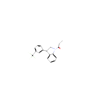 CCC(=O)N1CC(c2cccc(C(F)(F)F)c2)c2ccccc21